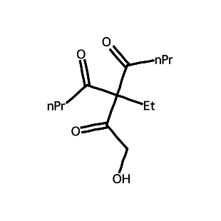 CCCC(=O)C(CC)(C(=O)CO)C(=O)CCC